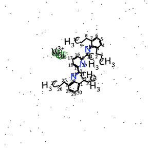 CCCc1cccc(CCC)c1N=C(C)c1cccc(C(C)=Nc2c(CCC)cccc2CCC)n1.[Cl-].[Cl-].[Cl-].[V+3]